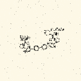 COC(=O)N[C@@H](C(=O)N1CCC[C@H]1c1ncc(-c2ccc(-c3ccc(-c4c[nH]c([C@@H]5CCCN5C(=O)[C@H](C(C)C)N(C)C(=O)O)n4)cc3)cc2)[nH]1)C1CCOCC1